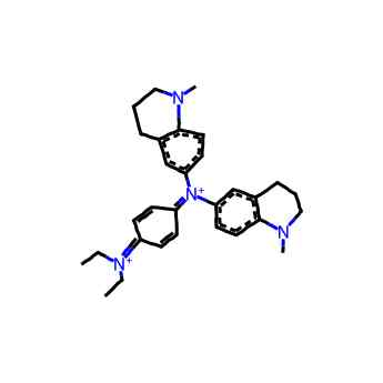 CC[N+](CC)=C1C=CC(=[N+](c2ccc3c(c2)CCCN3C)c2ccc3c(c2)CCCN3C)C=C1